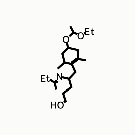 CCOC(C)OC1CC(C)=C(CC(CCCO)/N=C(\C)CC)C(C)C1